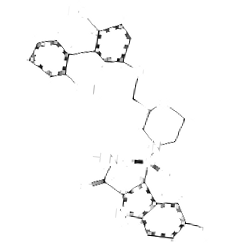 Cc1ccccc1-c1cc(OC[C@@H]2CN(S(=O)(=O)c3c(C(N)=O)[nH]c4ccc(Cl)cc34)CCO2)ccc1C